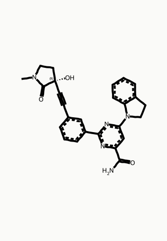 CN1CC[C@@](O)(C#Cc2cccc(-c3nc(C(N)=O)cc(N4CCc5ccccc54)n3)c2)C1=O